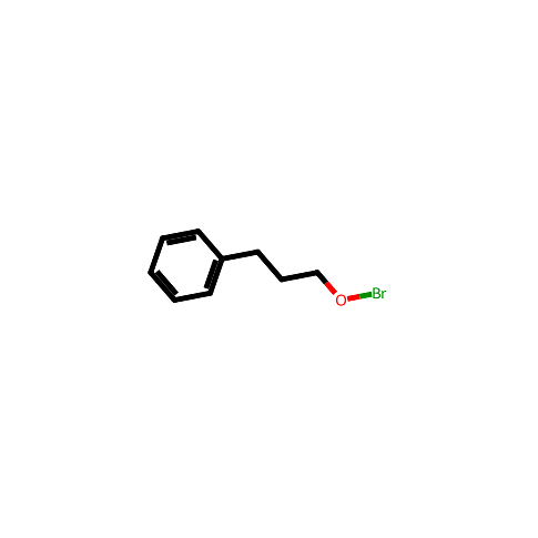 BrOCCCc1ccccc1